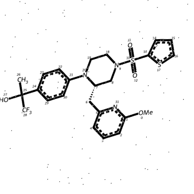 COc1cccc(C[C@H]2CN(S(=O)(=O)c3cccs3)CCN2c2ccc(C(C)(O)C(F)(F)F)cc2)n1